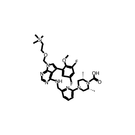 COc1c(F)cc(F)cc1-c1cn(COCC[Si](C)(C)C)c2ncnc(NCc3cccc(N4C[C@@H](C)N(C(=O)O)[C@@H](C)C4)n3)c12